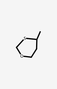 CC1CCOCS1